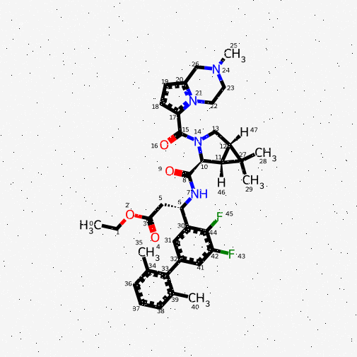 CCOC(=O)C[C@H](NC(=O)[C@@H]1[C@@H]2[C@H](CN1C(=O)c1ccc3n1CCN(C)C3)C2(C)C)c1cc(-c2c(C)cccc2C)cc(F)c1F